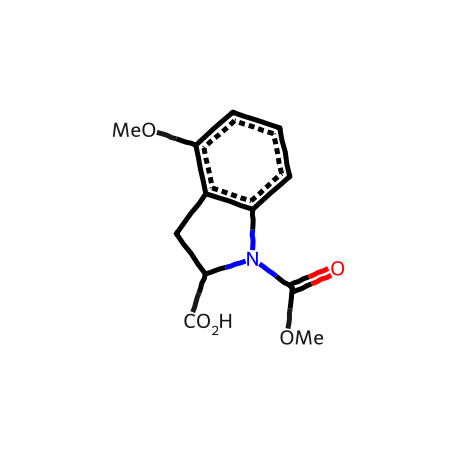 COC(=O)N1c2cccc(OC)c2CC1C(=O)O